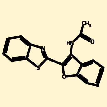 CC(=O)Nc1c(-c2nc3ccccc3s2)oc2ccccc12